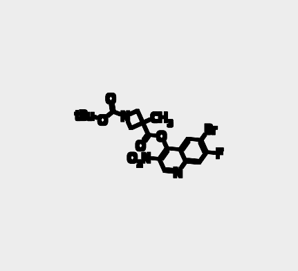 CC(C)(C)OC(=O)N1CC(C)(C(=O)Oc2c([N+](=O)[O-])cnc3cc(F)c(Br)cc23)C1